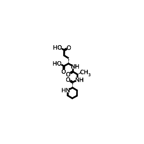 C[C@H](NC(=O)[C@@H]1CCCCN1)C(=O)N[C@@H](CCC(=O)O)C(=O)O